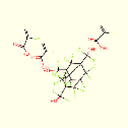 C=C(F)C(=O)O.C=C(F)C(=O)O.C=C(F)C(=O)O.OC(F)(F)C12C(F)(F)C3(F)C(F)(F)C(C(O)(F)F)(C1(F)F)C(F)(F)C(C(O)(F)F)(C3(F)F)C2(F)F